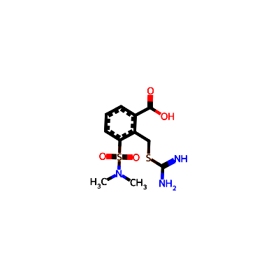 CN(C)S(=O)(=O)c1cccc(C(=O)O)c1CSC(=N)N